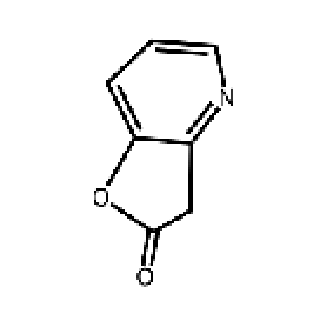 O=C1Cc2ncccc2O1